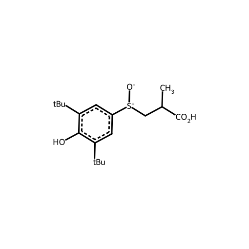 CC(C[S+]([O-])c1cc(C(C)(C)C)c(O)c(C(C)(C)C)c1)C(=O)O